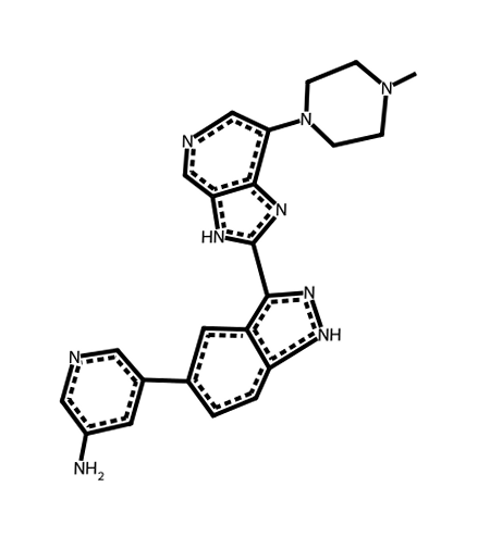 CN1CCN(c2cncc3[nH]c(-c4n[nH]c5ccc(-c6cncc(N)c6)cc45)nc23)CC1